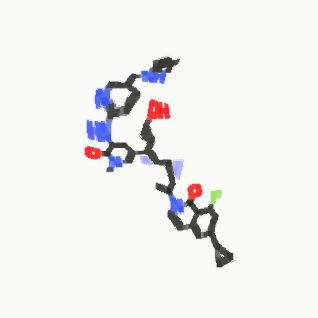 C=C(/C=C\C=C(/CCO)c1cc(Nc2ccc(CNC(C)C)cn2)c(=O)n(C)c1)n1ccc2cc(C3CC3)cc(F)c2c1=O